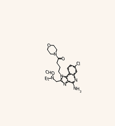 CCN(C=O)Cc1nc2c(N)nc3cc(Cl)ccc3c2n1CCCC(=O)N1CCOCC1